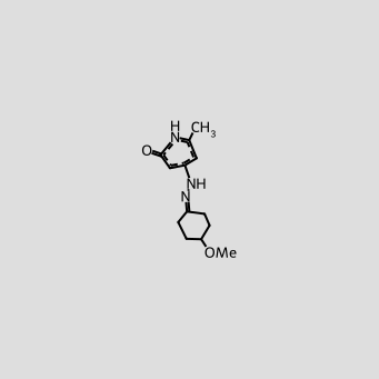 COC1CCC(=NNc2cc(C)[nH]c(=O)c2)CC1